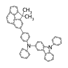 CC1(C)c2cccc3ccc4cc(-c5ccc(N(c6ccccc6)c6ccc7c(c6)c6ccccc6n7-c6ccccc6)cc5)cc1c4c23